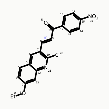 CCOc1ccc2cc(/C=C/C(=O)c3ccc([N+](=O)[O-])cc3)c(Cl)nc2c1